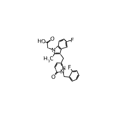 Cc1c(Cc2ccc(=O)n(Cc3ccccc3F)n2)c2cc(F)ccc2n1CC(=O)O